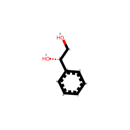 OC[C@@H](O)c1[c]cccc1